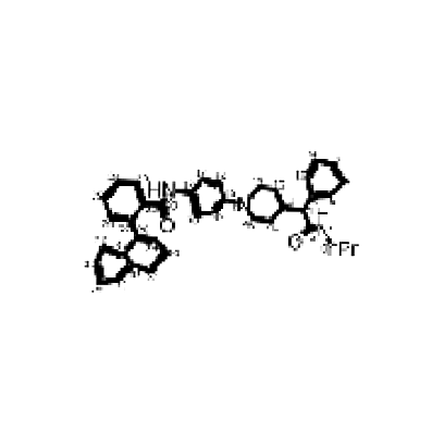 CCCNC(=O)C(c1ccccc1)C1CCN(c2ccc(NC(=O)c3ccccc3-c3cccc4ccccc34)cc2)CC1